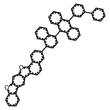 c1ccc(-c2cccc(-c3c4ccccc4c(-c4ccc(-c5ccc6c(ccc7c8cc9c(cc8oc67)oc6ccccc69)c5)c5ccccc45)c4ccccc34)c2)cc1